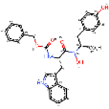 O=C(N[C@@H](Cc1c[nH]c2ccccc12)C(=O)N(O)[C@@H](Cc1ccc(O)cc1)C(=O)O)OCc1ccccc1